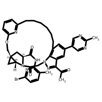 CC(=O)c1nn2c3c(cc(-c4cnc(C)nc4)cc13)CCCCCCc1cccc(n1)OC[C@@]13C[C@@H](C(=O)Nc4nc(Br)ccc4C)N(C(=O)C2)[C@@H]1C3